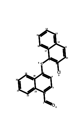 O=Cc1ccc(Sc2c(Cl)ccc3ccccc23)c2ccccc12